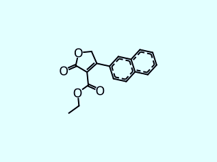 CCOC(=O)C1=C(c2ccc3ccccc3c2)COC1=O